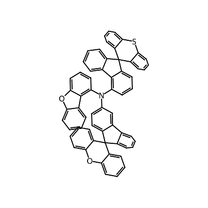 c1ccc2c(c1)Oc1ccccc1C21c2ccccc2-c2cc(N(c3cccc4c3-c3ccccc3C43c4ccccc4Sc4ccccc43)c3cccc4oc5ccccc5c34)ccc21